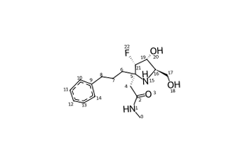 CNC(=O)C[C@@]1(CCCc2ccccc2)N[C@H](CO)[C@@H](O)[C@H]1F